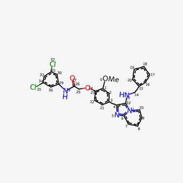 COc1cc(-c2nc3ccccn3c2NCc2ccccc2)ccc1OCC(=O)Nc1cc(Cl)cc(Cl)c1